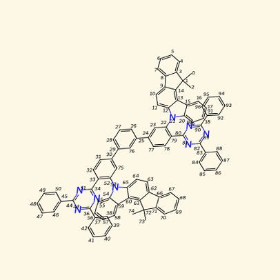 CC1(C)c2ccccc2-c2ccc3c(c21)c1ccccc1n3-c1cc(-c2cccc(-c3ccc(-c4nc(-c5ccccc5)nc(-c5ccccc5)n4)c(-n4c5ccccc5c5c6c(ccc54)-c4ccccc4C6(C)C)c3)c2)ccc1-c1nc(-c2ccccc2)nc(-c2ccccc2)n1